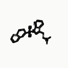 CN(C)CCc1cn(S(=O)(=O)c2ccc3ccccc3c2)c2ncccc12